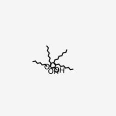 CCCCCCCc1c(O)c(O)c(OCCCCCC)c(CCCCCCC)c1CCCCCCC